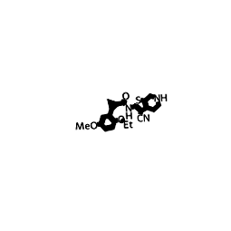 CCOc1ccc(OC)cc1C1CC1C(=O)Nc1sc2c(c1C#N)CCNC2